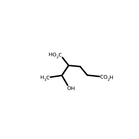 CC(O)C(CCC(=O)O)C(=O)O